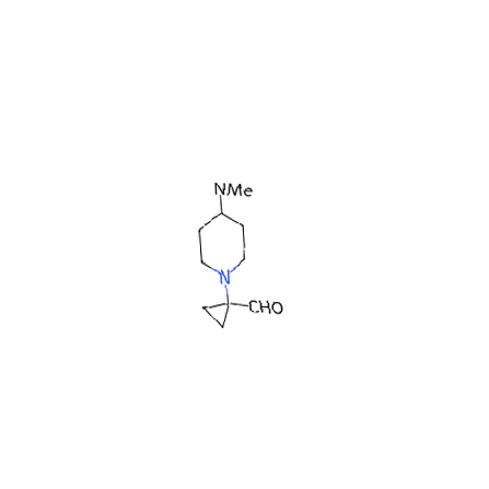 CNC1CCN(C2(C=O)CC2)CC1